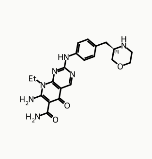 CCn1c(N)c(C(N)=O)c(=O)c2cnc(Nc3ccc(C[C@@H]4COCCN4)cc3)nc21